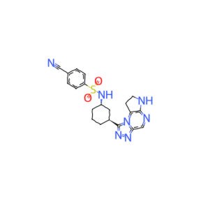 N#Cc1ccc(S(=O)(=O)N[C@@H]2CCC[C@H](c3nnc4cnc5c(n34)CCN5)C2)cc1